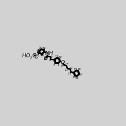 O=C(CCc1ccc(OCCCCCc2ccccc2)cc1)Nc1ccnc(OC(=O)O)c1